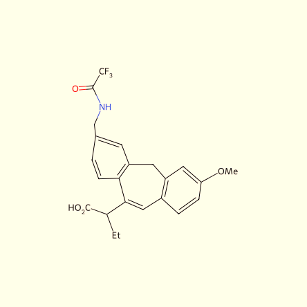 CCC(C(=O)O)C1=Cc2ccc(OC)cc2Cc2cc(CNC(=O)C(F)(F)F)ccc21